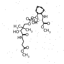 COC(=O)CCNC(=O)[C@H](O)C(C)(C)COP(=O)(O)OOc1ccccc1N[C@@H](C)C(=O)OC